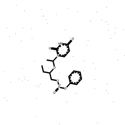 CCC(CO[PH](=O)Oc1ccccc1)OC(C)n1ccc(=O)[nH]c1=O